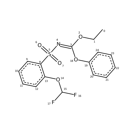 CCOC(=NS(=O)(=O)c1ccccc1OC(F)F)Oc1ccccc1